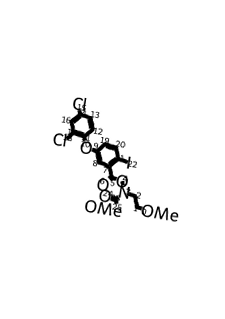 COCCN(OC(=O)c1cc(Oc2ccc(Cl)cc2Cl)ccc1I)C(=O)OC